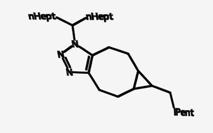 CCCCCCCC(CCCCCCC)n1nnc2c1CCC1C(CC2)C1CC(C)CCC